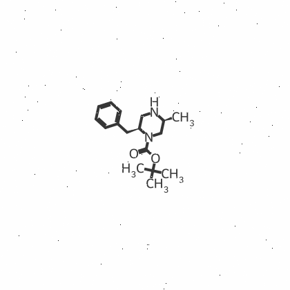 C[C@H]1CN(C(=O)OC(C)(C)C)[C@@H](Cc2ccccc2)CN1